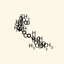 COC(=O)N[C@H](C(=O)N1CCC[C@H]1c1ncc(-c2ccc3c(c2)CCc2cc(-c4cnc(C5[C@H]6CC[C@H](C6)N5C(=O)[C@@H](NC(=O)OC)C5CCOCC5)[nH]4)ccc2-3)[nH]1)C(C)C